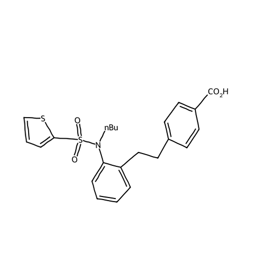 CCCCN(c1ccccc1CCc1ccc(C(=O)O)cc1)S(=O)(=O)c1cccs1